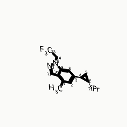 Cc1cc([C@H]2C[C@@H]2C(C)C)cc2c1cnn2CC(F)(F)F